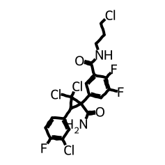 NC(=O)C1(c2cc(F)c(F)c(C(=O)NCCCCl)c2)C(c2ccc(F)c(Cl)c2)C1(Cl)Cl